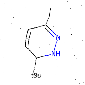 CC1=NNC(C(C)(C)C)C=C1